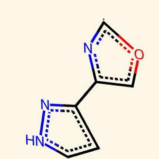 [c]1nc(-c2cc[nH]n2)co1